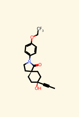 CC#C[C@]1(O)CC[C@]2(CCN(c3ccc(OCC(F)(F)F)cc3)C2=O)CC1